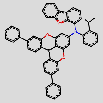 CC(C)c1ccccc1N(c1cc2c3c(c1)Oc1cc(-c4ccccc4)ccc1B3c1ccc(-c3ccccc3)cc1O2)c1cccc2c1oc1ccccc12